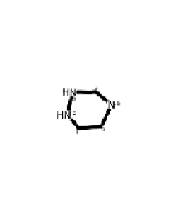 C1CNNC[N]1